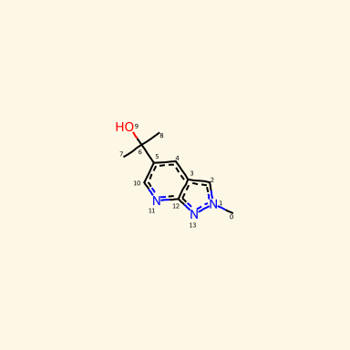 Cn1cc2cc(C(C)(C)O)cnc2n1